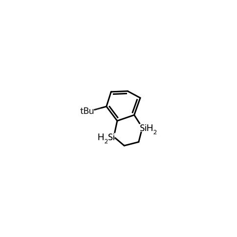 CC(C)(C)c1cccc2c1[SiH2]CC[SiH2]2